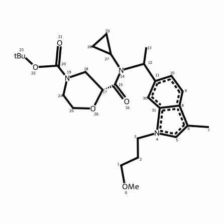 COCCCn1cc(C)c2ccc(C(C)N(C(=O)[C@H]3CN(C(=O)OC(C)(C)C)CCO3)C3CC3)cc21